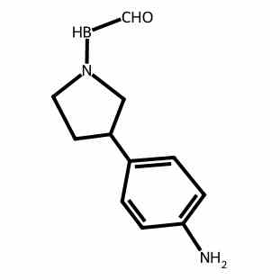 Nc1ccc(C2CCN(BC=O)C2)cc1